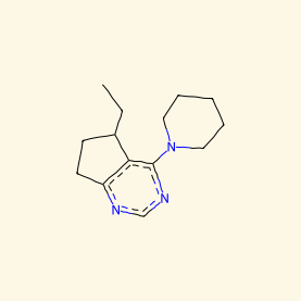 CCC1CCc2ncnc(N3CCCCC3)c21